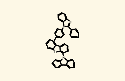 c1ccc(-c2nc3ccccc3n2-c2ccc(-c3cccc4oc5c(-n6c7ccccc7c7ccccc76)cccc5c34)cc2)cc1